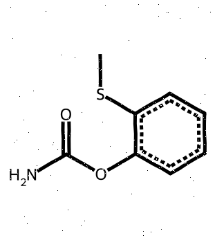 CSc1ccccc1OC(N)=O